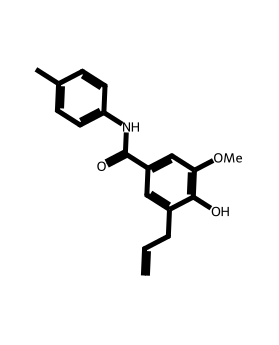 C=CCc1cc(C(=O)Nc2ccc(C)cc2)cc(OC)c1O